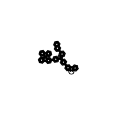 c1ccc(C2(c3ccccc3)c3ccccc3-c3ccc(-c4ccc(N(c5ccc(-c6ccc7oc8ccccc8c7c6)cc5)c5cccc(-c6ccc7ccccc7c6)c5)cc4)cc32)cc1